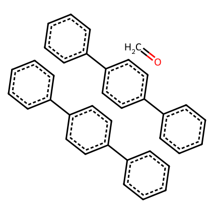 C=O.c1ccc(-c2ccc(-c3ccccc3)cc2)cc1.c1ccc(-c2ccc(-c3ccccc3)cc2)cc1